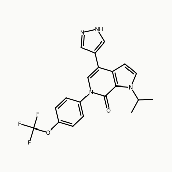 CC(C)n1ccc2c(-c3cn[nH]c3)cn(-c3ccc(OC(F)(F)F)cc3)c(=O)c21